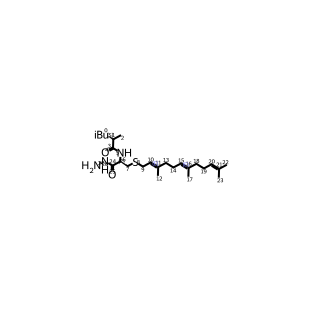 CC[C@H](C)C(C)C(=O)N[C@@H](CSC/C=C(\C)CC/C=C(\C)CCC=C(C)C)C(=O)NN